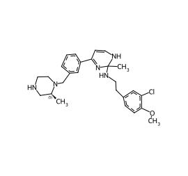 COc1ccc(CCNC2(C)N=C(c3cccc(CN4CCNC[C@@H]4C)c3)C=CN2)cc1Cl